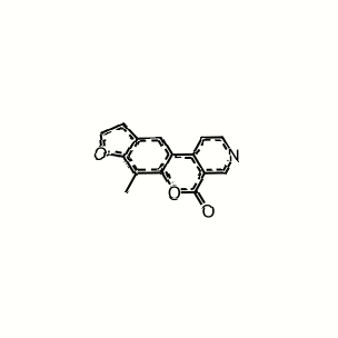 Cc1c2occc2cc2c1oc(=O)c1cnccc12